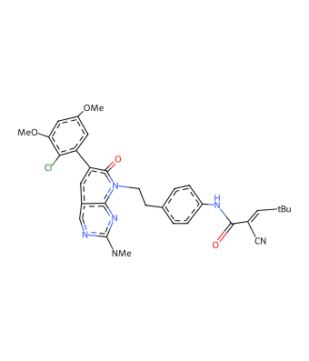 CNc1ncc2cc(-c3cc(OC)cc(OC)c3Cl)c(=O)n(CCc3ccc(NC(=O)C(C#N)=CC(C)(C)C)cc3)c2n1